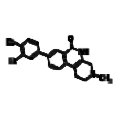 CCc1ccc(-c2ccc3c4c([nH]c(=O)c3c2)CN(C)CC4)cc1CC